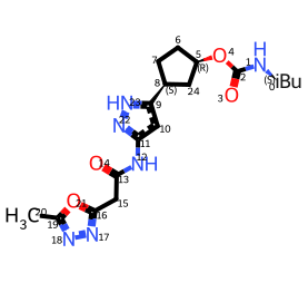 CC[C@H](C)NC(=O)O[C@@H]1CC[C@H](c2cc(NC(=O)Cc3nnc(C)o3)n[nH]2)C1